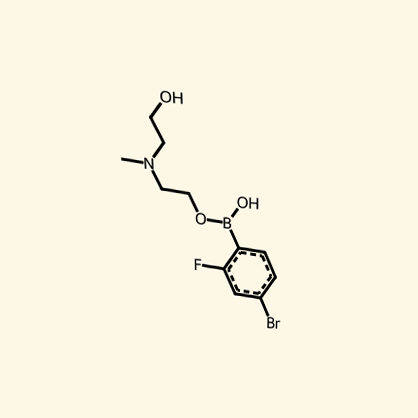 CN(CCO)CCOB(O)c1ccc(Br)cc1F